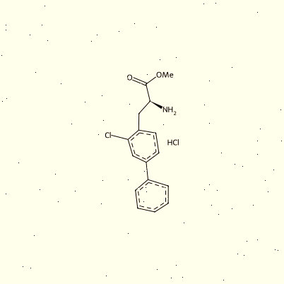 COC(=O)[C@@H](N)Cc1ccc(-c2ccccc2)cc1Cl.Cl